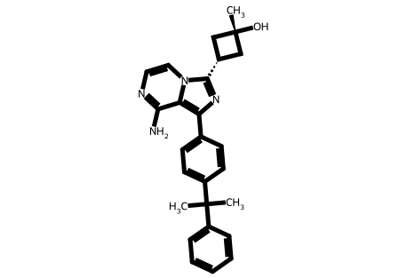 CC(C)(c1ccccc1)c1ccc(-c2nc([C@H]3C[C@@](C)(O)C3)n3ccnc(N)c23)cc1